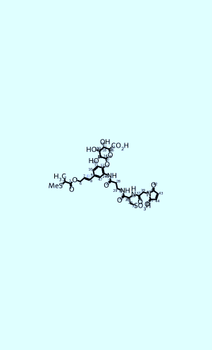 CSC(C)C(=O)OC/C=C/c1ccc(O[C@@H]2O[C@H](C(=O)O)[C@@H](O)[C@H](O)[C@H]2O)c(NC(=O)CCNC(=O)[C@H](CS(=O)(=O)O)NC(=O)CN2C(=O)C=CC2=O)c1